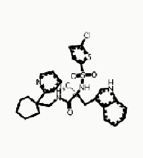 C[C@@](Cc1c[nH]c2ccccc12)(NS(=O)(=O)c1ccc(Cl)s1)C(=O)NCC1(c2ccccn2)CCCCC1